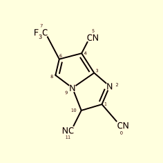 N#CC1=Nc2c(C#N)c(C(F)(F)F)cn2C1C#N